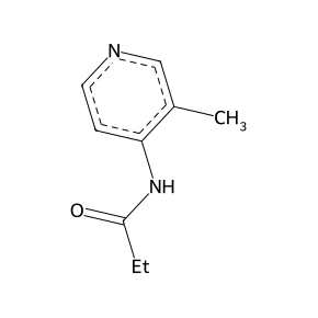 CCC(=O)Nc1ccncc1C